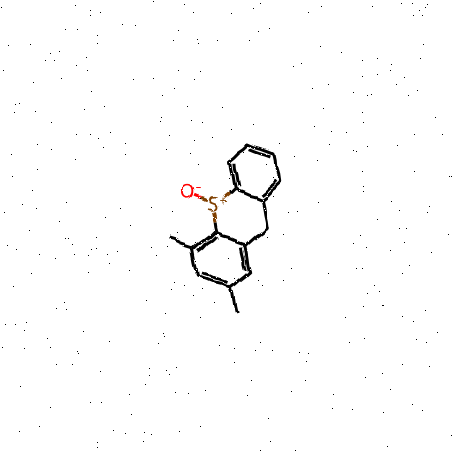 Cc1cc(C)c2c(c1)Cc1ccccc1[S+]2[O-]